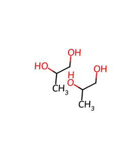 CC(O)CO.CC(O)CO